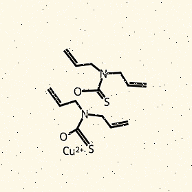 C=CCN(CC=C)C([O-])=S.C=CCN(CC=C)C([O-])=S.[Cu+2]